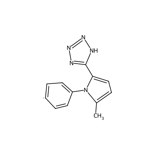 Cc1ccc(-c2nnn[nH]2)n1-c1cc[c]cc1